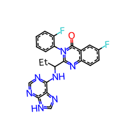 CCC(Nc1ncnc2[nH]cnc12)c1nc2ccc(F)cc2c(=O)n1-c1ccccc1F